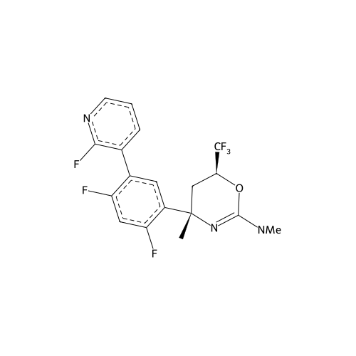 CNC1=N[C@](C)(c2cc(-c3cccnc3F)c(F)cc2F)C[C@@H](C(F)(F)F)O1